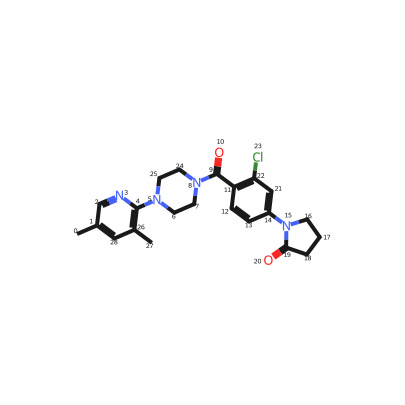 Cc1cnc(N2CCN(C(=O)c3ccc(N4CCCC4=O)cc3Cl)CC2)c(C)c1